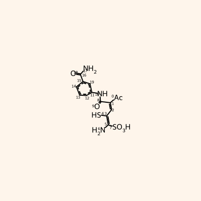 CC(=O)/C(=C/C(S)=C(/N)S(=O)(=O)O)C(=O)Nc1cccc(C(N)=O)c1